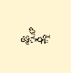 C[C@@H]1CN(C[C@@H]2CN(S(=O)(=O)c3cccs3)CCN2c2ccc([C@@](C)(O)C(F)(F)F)cc2)CCO1